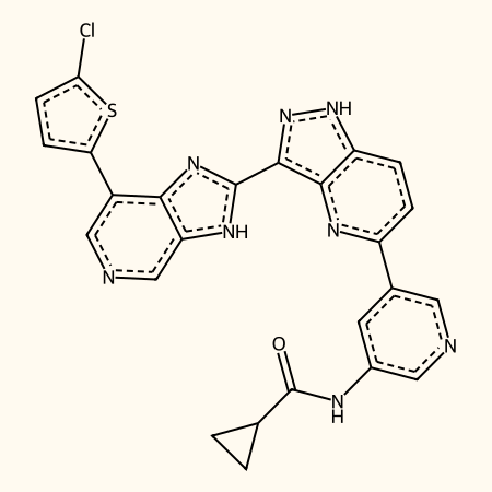 O=C(Nc1cncc(-c2ccc3[nH]nc(-c4nc5c(-c6ccc(Cl)s6)cncc5[nH]4)c3n2)c1)C1CC1